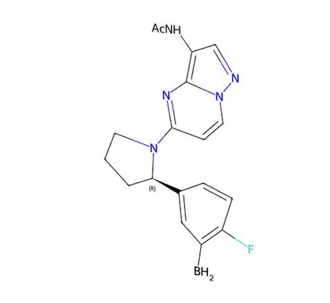 Bc1cc([C@H]2CCCN2c2ccn3ncc(NC(C)=O)c3n2)ccc1F